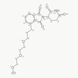 [CH2]COCCOCCOCCCc1cccc2c1C(=O)N(C1CCC(=O)NC1=O)C2=O